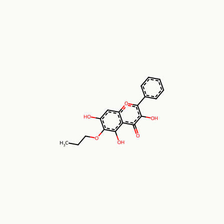 CCCOc1c(O)cc2oc(-c3ccccc3)c(O)c(=O)c2c1O